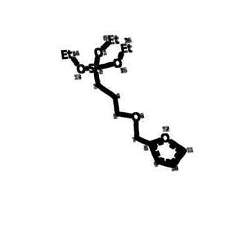 CCO[Si](CCCOCc1ccco1)(OCC)OCC